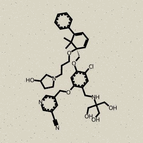 CC1(C)C(c2ccccc2)=CC=C[C@@]1(COc1cc(OCc2cncc(C#N)c2)c(CNC(CO)(CO)CO)cc1Cl)OCCCN1CCC(O)C1